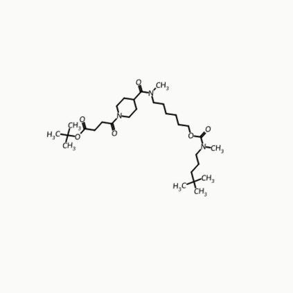 CN(CCCC(C)(C)C)C(=O)OCCCCCCN(C)C(=O)C1CCN(C(=O)CCC(=O)OC(C)(C)C)CC1